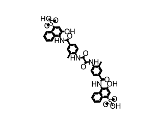 Cc1cc(C(=O)Nc2c(O)cc(S(=O)(=O)O)c3ccccc23)ccc1NC(=O)C(=O)Nc1ccc(C(=O)Nc2c(O)cc(S(=O)(=O)O)c3ccccc23)cc1C